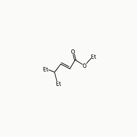 CCOC(=O)C=CC(CC)CC